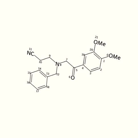 COc1ccc(C(=O)CN(CCC#N)Cc2ccccc2)cc1OC